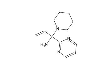 C=CC(N)(c1ncccn1)N1CCCCC1